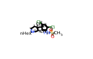 CCCCCCN1CC[C@](C)(c2cc(NS(C)(=O)=O)c(Cl)cc2Cl)[C@@H](C)C1